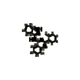 Cc1ccccc1-c1nc(Nc2n[nH]c3ccccc23)c2ccccc2n1